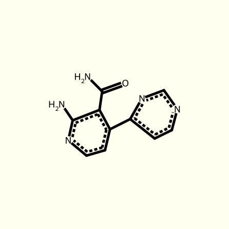 NC(=O)c1c(-c2ccncn2)ccnc1N